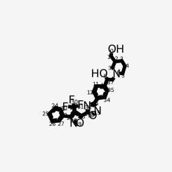 OCC1CCCN(CC(O)c2ccc(-c3noc(-c4onc(-c5ccccc5)c4C(F)(F)F)n3)cc2)C1